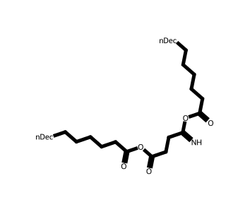 CCCCCCCCCCCCCCCC(=O)OC(=N)CCC(=O)OC(=O)CCCCCCCCCCCCCCC